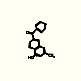 Cc1cc2cc(C(=O)c3ccccc3)ccc2[n+](O)c1